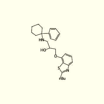 CCCCc1nc2cccc(OCC(O)CNC3(c4ccccc4)CCCCC3)c2s1